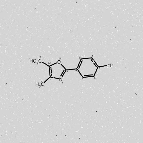 Cc1nc(-c2ccc(Cl)cc2)oc1C(=O)O